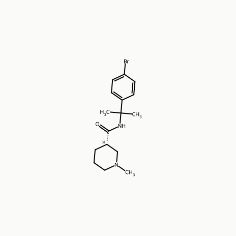 CN1CCC[C@H](C(=O)NC(C)(C)c2ccc(Br)cc2)C1